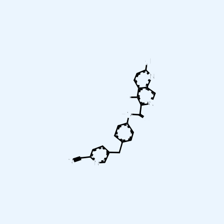 N#Cc1ccc(Cc2ccc(NC(=O)c3ncc4nc(Cl)ccc4c3O)cc2)cn1